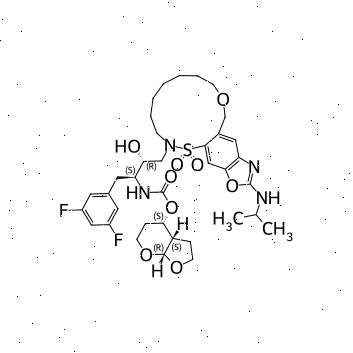 CC(C)Nc1nc2cc3c(cc2o1)S(=O)(=O)N(C[C@@H](O)[C@H](Cc1cc(F)cc(F)c1)NC(=O)O[C@H]1CCO[C@H]2OCC[C@H]21)CCCCCCCOC3